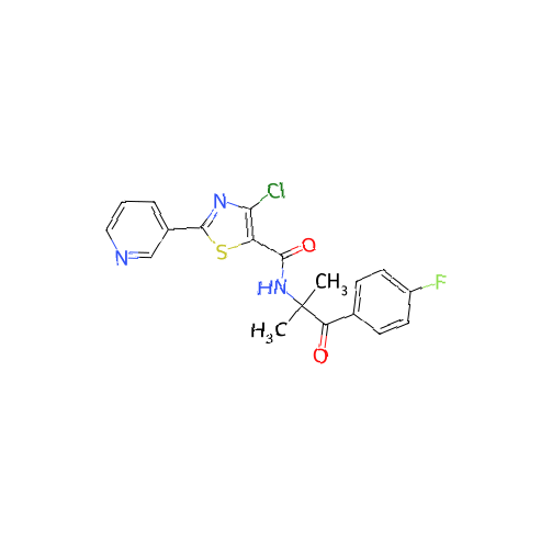 CC(C)(NC(=O)c1sc(-c2cccnc2)nc1Cl)C(=O)c1ccc(F)cc1